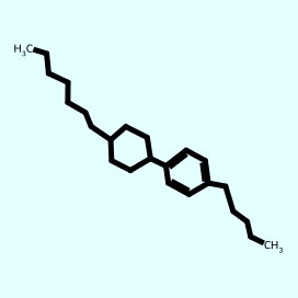 CCCCCCCC1CCC(c2ccc(CCCCC)cc2)CC1